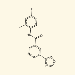 Cc1cc(F)ccc1NC(=O)c1cncc(-c2cccs2)c1